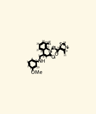 COc1cccc(NCc2cc(=O)n(OC(=O)c3scnc3C)c3c(F)cccc23)c1